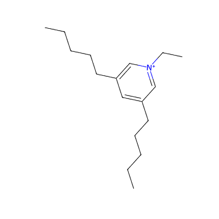 CCCCCc1cc(CCCCC)c[n+](CC)c1